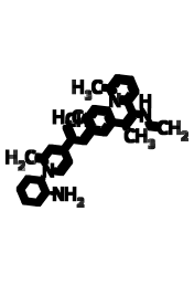 C=CN/C(=C(\C)c1ccc(=C)/c(=C\C(=C/C)C2=CC(=C)N([C@@H]3CCCC[C@H]3N)C=C2)c1)c1cccc(C)n1